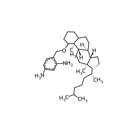 CC(C)CCC[C@@H](C)[C@H]1CC[C@H]2[C@@H]3CCC4CCCC(OCc5ccc(N)cc5N)[C@]4(C)[C@H]3CC[C@]12C